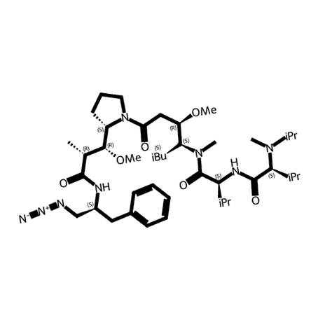 CC[C@H](C)[C@@H]([C@@H](CC(=O)N1CCC[C@H]1[C@H](OC)[C@@H](C)C(=O)N[C@H](CN=[N+]=[N-])Cc1ccccc1)OC)N(C)C(=O)[C@@H](NC(=O)[C@H](C(C)C)N(C)C(C)C)C(C)C